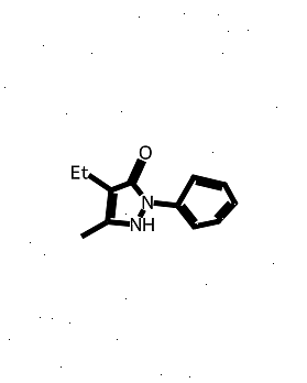 CCc1c(C)[nH]n(-c2ccccc2)c1=O